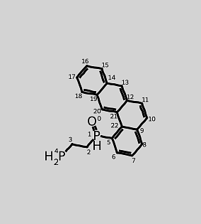 O=[PH](CCP)c1cccc2ccc3cc4ccccc4cc3c12